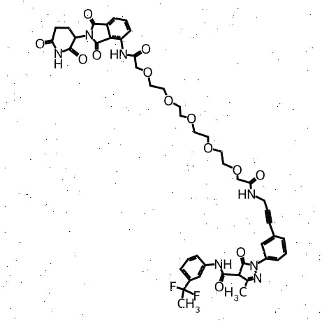 CC1=NN(c2cccc(C#CCNC(=O)COCCOCCOCCOCCOCC(=O)Nc3cccc4c3C(=O)N(C3CCC(=O)NC3=O)C4=O)c2)C(=O)C1C(=O)Nc1cccc(C(C)(F)F)c1